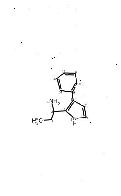 CCC(N)c1[nH]ccc1-c1ccccc1